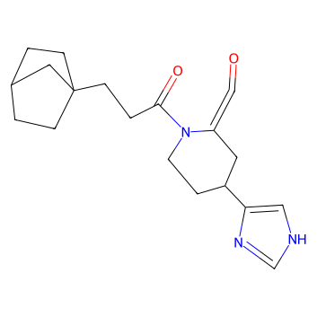 O=C=C1CC(c2c[nH]cn2)CCN1C(=O)CCC12CCC(CC1)C2